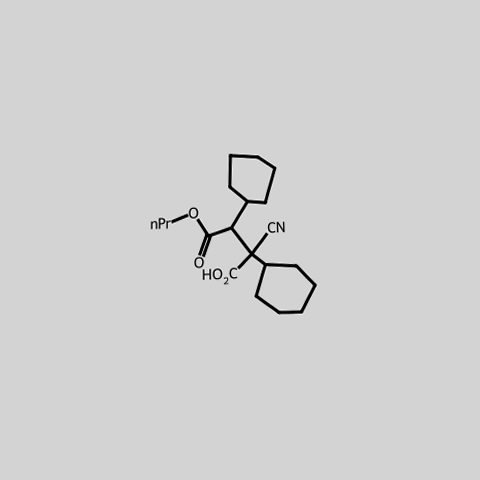 CCCOC(=O)C(C1CCCCC1)C(C#N)(C(=O)O)C1CCCCC1